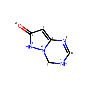 O=c1cc2n([nH]1)CNC=N2